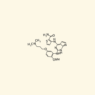 COc1ccc(OCCCN(C)C)cc1Nc1nc(Nc2ccsc2C(N)=O)c2ccnc-2[nH]1